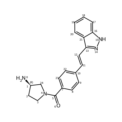 N[C@@H]1CCN(C(=O)c2ccc(C=Cc3n[nH]c4ccccc34)cc2)C1